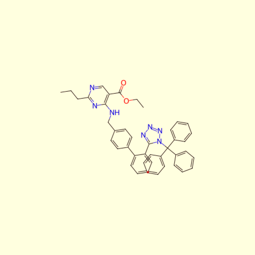 CCCc1ncc(C(=O)OCC)c(NCc2ccc(-c3ccccc3-c3nnnn3C(c3ccccc3)(c3ccccc3)c3ccccc3)cc2)n1